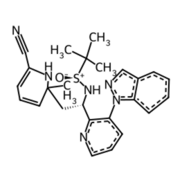 CC1(C[C@H](N[S@@+]([O-])C(C)(C)C)c2ncccc2-n2ncc3ccccc32)C=CC=C(C#N)N1